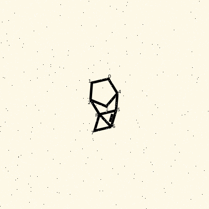 C1CC2CC1C1=C3CC312